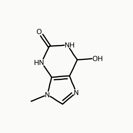 Cn1cnc2c1NC(=O)NC2O